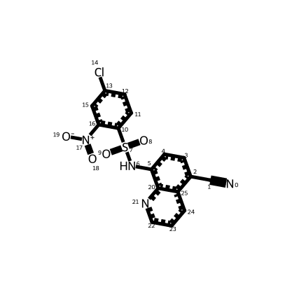 N#Cc1ccc(NS(=O)(=O)c2ccc(Cl)cc2[N+](=O)[O-])c2ncccc12